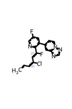 C=C/C=C(Cl)\C=C(/F)c1ncc(F)cc1-c1ccn2ncnc2c1